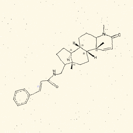 CN1C(=O)C=C[C@@]2(C)C1CC[C@@H]1[C@H]2CC[C@]2(C)C(CNC(=O)/C=C/c3ccccc3)CC[C@@H]12